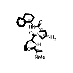 C#CC[C@H](NC(=O)[C@H](C)NC)C(=O)N1C[C@@H](N)C[C@H]1C(=O)N[C@@H]1CCCc2ccccc21